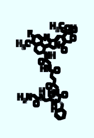 CC[C@@]1(O)C(=O)OCc2c1cc1n(c2=O)Cc2c-1nc1cc(F)c(C)c3c1c2[C@@H](NC(=O)CNC(=O)CCC(=O)CNC(=O)[C@H](Cc1ccccc1)NC(=O)CNC(=O)CN)CC3